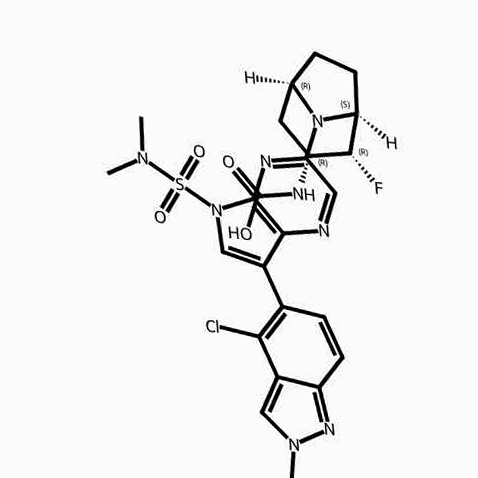 CN(C)S(=O)(=O)n1cc(-c2ccc3nn(C)cc3c2Cl)c2ncc(N3[C@@H]4CC[C@H]3[C@H](F)[C@H](NC(=O)O)C4)nc21